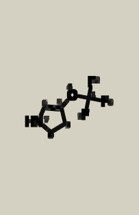 FC(F)(F)OC1=CN[C]C1